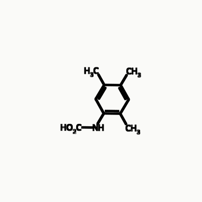 Cc1cc(C)c(NC(=O)O)cc1C